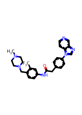 CN1CCN(Cc2ccc(NC(=O)Cc3ccc(-n4cnc5cnccc54)cc3)cc2C(F)(F)F)CC1